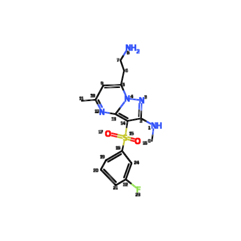 CNc1nn2c(CCN)cc(C)nc2c1S(=O)(=O)c1cccc(F)c1